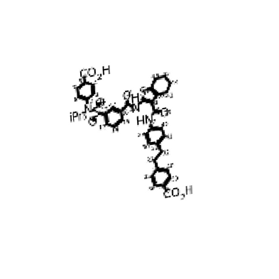 CC(C)N(c1ccc(C(=O)O)cc1)S(=O)(=O)c1cccc(C(=O)Nc2sc3c(c2C(=O)Nc2ccc(CCc4ccc(C(=O)O)cc4)cc2)CCCC3)c1